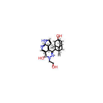 OCCN1N=C(C2[C@@H]3CC4C[C@H]2CC(O)(C4)C3)c2c(cnc3[nH]ccc23)B1O